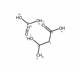 CC(O)CC(=O)O.O=[PH](O)O